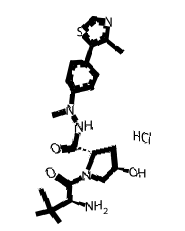 Cc1ncsc1-c1ccc(N(C)NC(=O)[C@@H]2C[C@@H](O)CN2C(=O)[C@@H](N)C(C)(C)C)cc1.Cl